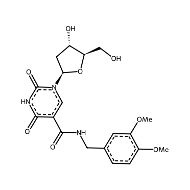 COc1ccc(CNC(=O)c2cn([C@H]3C[C@H](O)[C@@H](CO)O3)c(=O)[nH]c2=O)cc1OC